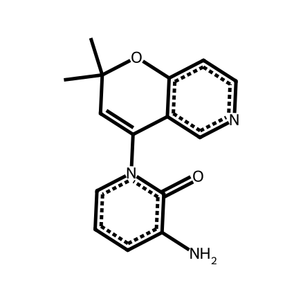 CC1(C)C=C(n2cccc(N)c2=O)c2cnccc2O1